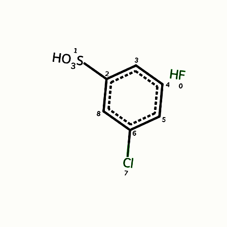 F.O=S(=O)(O)c1cccc(Cl)c1